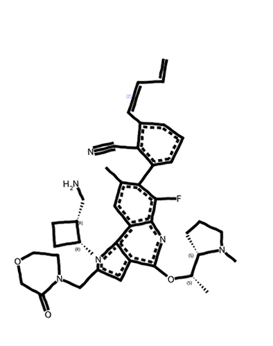 C=C/C=C\c1cccc(-c2c(C)cc3c(nc(O[C@@H](C)[C@@H]4CCCN4C)c4cc(CN5CCOCC5=O)n([C@@H]5CC[C@@H]5CN)c43)c2F)c1C#N